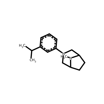 CC(C)c1cccc(N2CC3CCC(C2)N3C)c1